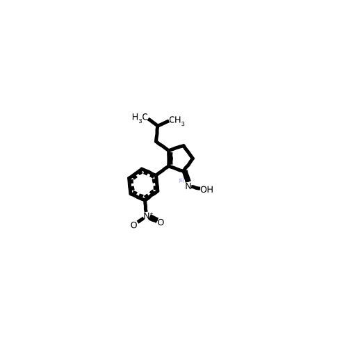 CC(C)CC1=C(c2cccc([N+](=O)[O-])c2)/C(=N/O)CC1